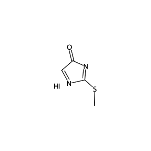 CSC1=NC(=O)C=N1.I